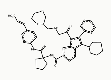 O=C(O)/C=C/c1ccc(NC(=O)C2(NC(=O)c3ccc4c(C5CCCCC5)c(-c5ccccc5)n(C(=O)CNCC5COCCO5)c4c3)CCCC2)cc1